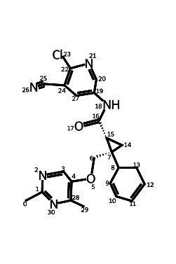 Cc1ncc(OC[C@@]2(C3C=CC=CC3)C[C@H]2C(=O)Nc2cnc(Cl)c(C#N)c2)c(C)n1